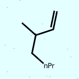 C=C[C](C)CCCC